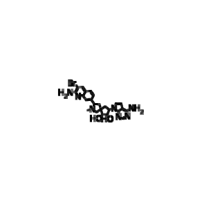 CN1CC2(CC1c1ccc3cc(Br)c(N)nc3c1)CC(n1ccc3c(N)ncnc31)C(O)C2O